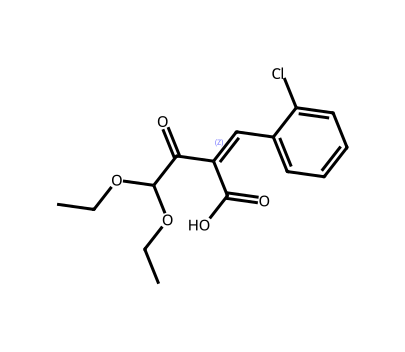 CCOC(OCC)C(=O)/C(=C/c1ccccc1Cl)C(=O)O